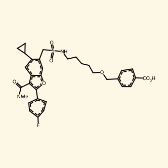 CNC(=O)c1c(-c2ccc(F)cc2)oc2cc(CS(=O)(=O)NCCCCCOCc3ccc(C(=O)O)cc3)c(C3CC3)cc12